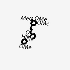 COc1ccc(Nc2ncccc2C(=O)C=Cc2cc(OC)c(OC)c(OC)c2)cc1